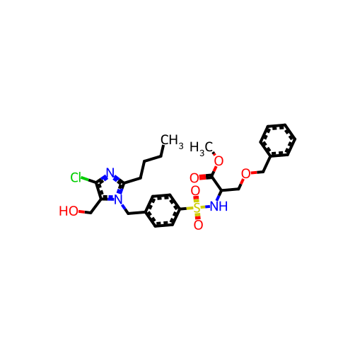 CCCCc1nc(Cl)c(CO)n1Cc1ccc(S(=O)(=O)NC(COCc2ccccc2)C(=O)OC)cc1